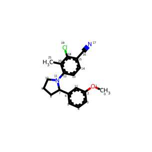 COc1cccc(C2CCCN2c2ccc(C#N)c(Cl)c2C)c1